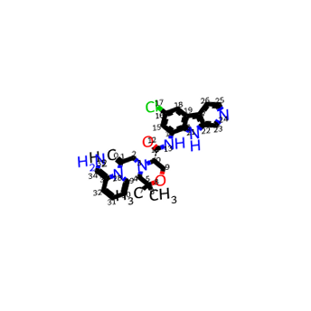 C=C(CN1CC(C)(C)OC[C@H]1C(=O)Nc1cc(Cl)cc2c1[nH]c1cnccc12)N1C=CC=C/C1=C/N